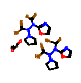 S=C([S-])N(c1ncco1)N(C(=S)S)N1C=CCC1.S=C([S-])N(c1ncco1)N(C(=S)S)N1C=CCC1.[O]=[Mo+2]=[O]